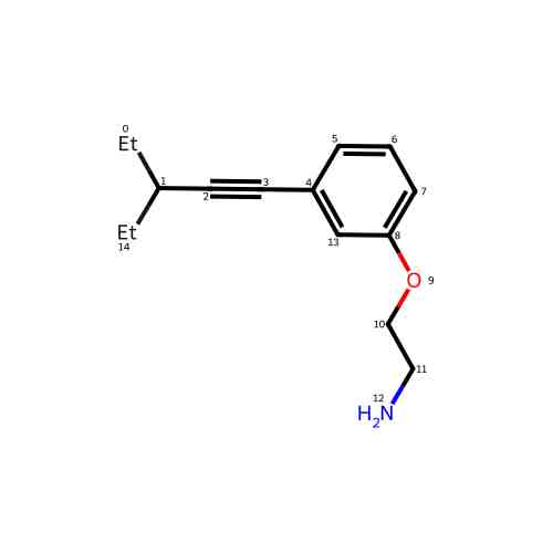 CCC(C#Cc1cccc(OCCN)c1)CC